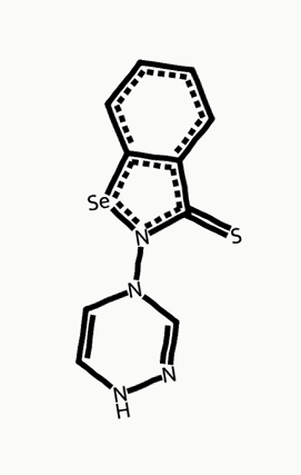 S=c1c2ccccc2[se]n1N1C=CNN=C1